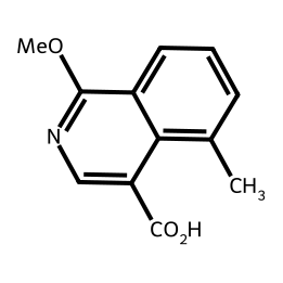 COc1ncc(C(=O)O)c2c(C)cccc12